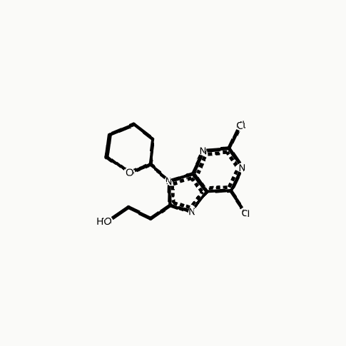 OCCc1nc2c(Cl)nc(Cl)nc2n1C1CCCCO1